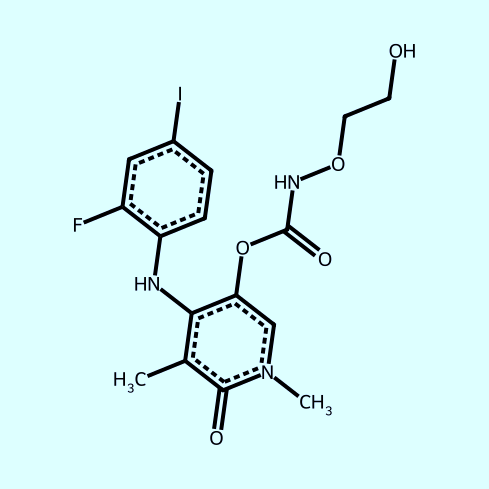 Cc1c(Nc2ccc(I)cc2F)c(OC(=O)NOCCO)cn(C)c1=O